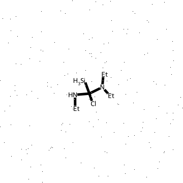 CCNC([SiH3])(Cl)N(CC)CC